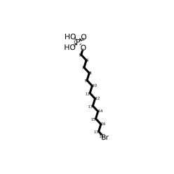 O=P(O)(O)OCCCCCCCCCCCCCBr